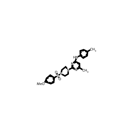 COc1ccc(S(=O)(=O)N2CCN(c3nc(C)cc(Nc4ccc(C)cc4)n3)CC2)cc1